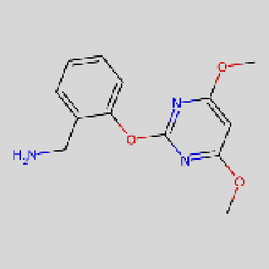 COc1cc(OC)nc(Oc2ccccc2CN)n1